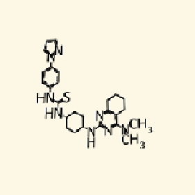 CN(C)c1nc(N[C@H]2CC[C@@H](NC(=S)Nc3ccc(-n4cccn4)cc3)CC2)nc2c1CCCC2